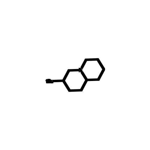 CC(C)(C)C1CCC2CCCCN2C1